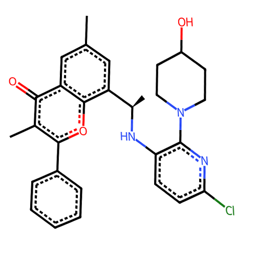 Cc1cc([C@@H](C)Nc2ccc(Cl)nc2N2CCC(O)CC2)c2oc(-c3ccccc3)c(C)c(=O)c2c1